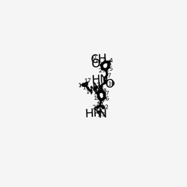 COc1cccc(CNC(=O)c2nn(CC3CC3)c3cc(-c4cn[nH]c4)ccc23)c1